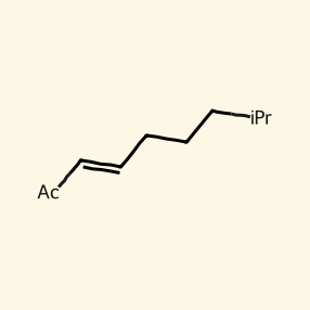 CC(=O)C=CCCCC(C)C